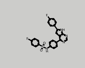 O=S(=O)(Nc1ccc(-c2ncnc3[nH]c(-c4ccc(F)cc4)cc23)cc1)c1ccc(F)cc1